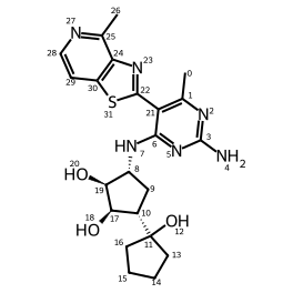 Cc1nc(N)nc(N[C@@H]2C[C@H](C3(O)CCCC3)[C@@H](O)[C@H]2O)c1-c1nc2c(C)nccc2s1